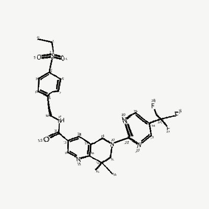 CCS(=O)(=O)c1ccc(CNC(=O)c2cnc3c(c2)CN(c2ncc(C(F)(F)F)cn2)CC3(C)C)cc1